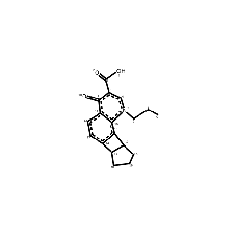 CCCn1cc(C(=O)O)c(=O)c2ccc3c(c21)C1CCCC31